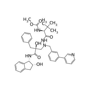 COC(=O)N[C@H](C(=O)NN(Cc1cccc(-c2cccnc2)c1)C[C@@](O)(Cc1ccccc1)C(=O)N[C@H]1c2ccccc2C[C@H]1O)C(C)(C)C